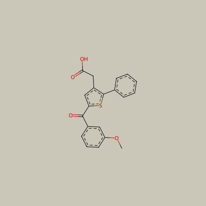 COc1cccc(C(=O)c2cc(CC(=O)O)c(-c3ccccc3)s2)c1